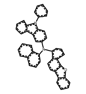 c1ccc(-n2c3ccccc3c3cc(N(c4cccc5ccccc45)c4cccc5c4ccc4c6ccccc6oc54)ccc32)cc1